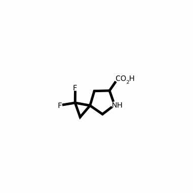 O=C(O)C1CC2(CN1)CC2(F)F